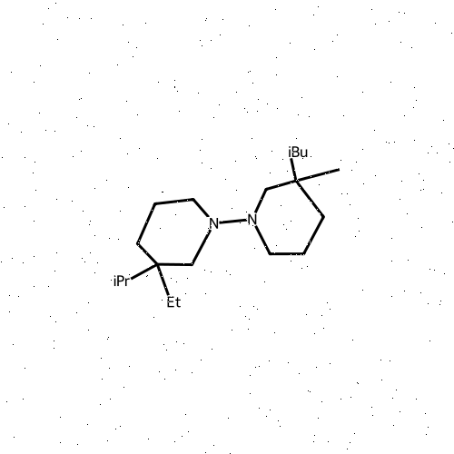 CCC(C)C1(C)CCCN(N2CCCC(CC)(C(C)C)C2)C1